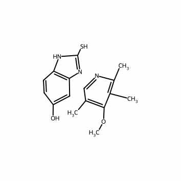 COc1c(C)cnc(C)c1C.Oc1ccc2[nH]c(S)nc2c1